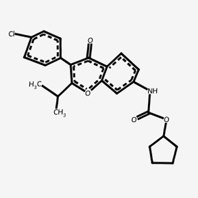 CC(C)c1oc2cc(NC(=O)OC3CCCC3)ccc2c(=O)c1-c1ccc(Cl)cc1